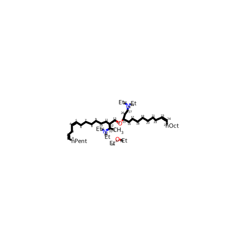 CCCCC/C=C\C/C=C\CCCCCCC(COC(CCCCCCC/C=C\CCCCCCCC)CCN(CC)CC)C(C)N(CC)CC.CCOCC